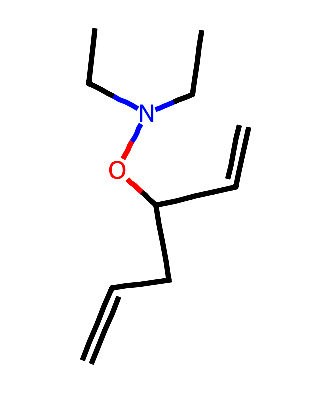 C=CCC(C=C)ON(CC)CC